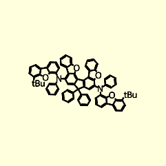 CC(C)(C)c1cccc2c1oc1c(N(c3ccccc3)c3cc4c(c5c3oc3ccccc35)-c3c(cc(N(c5ccccc5)c5cccc6c5oc5c(C(C)(C)C)cccc56)c5c3oc3ccccc35)C4(c3ccccc3)c3ccccc3)cccc12